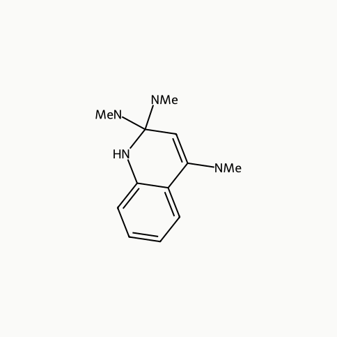 CNC1=CC(NC)(NC)Nc2ccccc21